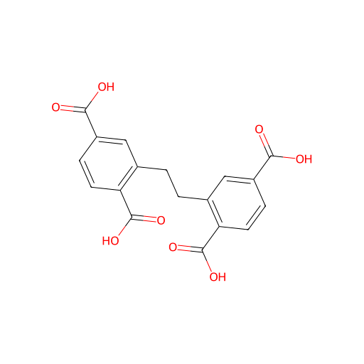 O=C(O)c1ccc(C(=O)O)c(CCc2cc(C(=O)O)ccc2C(=O)O)c1